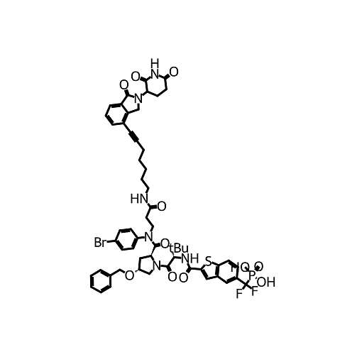 CC(C)(C)[C@H](NC(=O)c1cc2cc(C(F)(F)P(=O)(O)O)ccc2s1)C(=O)N1C[C@H](OCc2ccccc2)C[C@H]1C(=O)N(CCC(=O)NCCCCCC#Cc1cccc2c1CN(C1CCC(=O)NC1=O)C2=O)c1ccc(Br)cc1